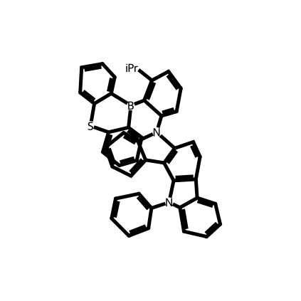 CC(C)c1cccc(-n2c3ccccc3c3c2ccc2c4ccccc4n(-c4ccccc4)c23)c1B1c2ccccc2Sc2ccccc21